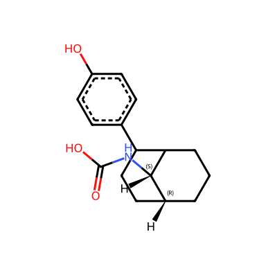 O=C(O)N[C@@H]1C2CCC[C@@H]1CCC2c1ccc(O)cc1